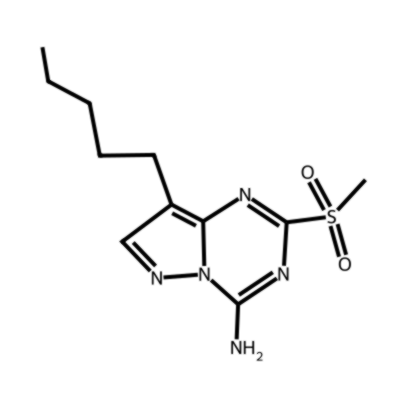 CCCCCc1cnn2c(N)nc(S(C)(=O)=O)nc12